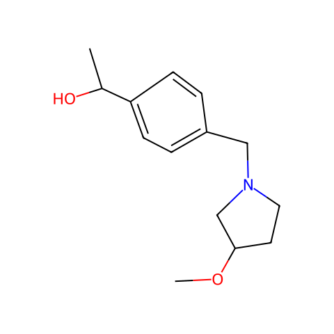 COC1CCN(Cc2ccc(C(C)O)cc2)C1